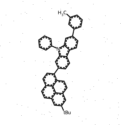 Cc1cccc(-c2ccc3c4ccc(-c5ccc6ccc7cc(C(C)(C)C)cc8ccc5c6c78)cc4n(-c4ccccc4)c3c2)c1